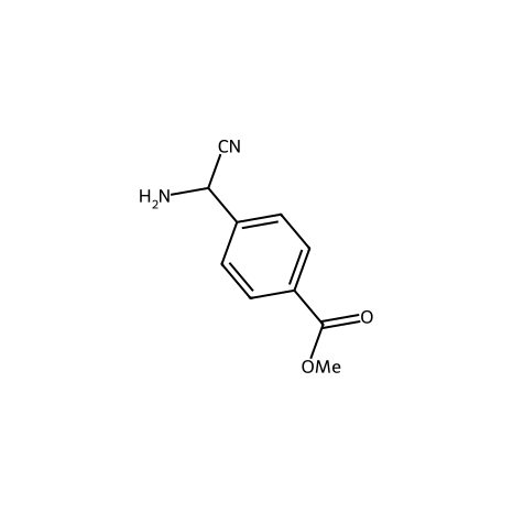 COC(=O)c1ccc(C(N)C#N)cc1